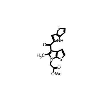 COC(=O)Cn1c(C)c(C(=O)c2cc3sccc3[nH]2)c2ccsc21